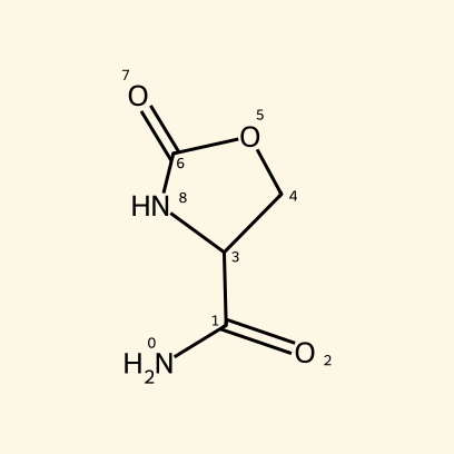 NC(=O)C1COC(=O)N1